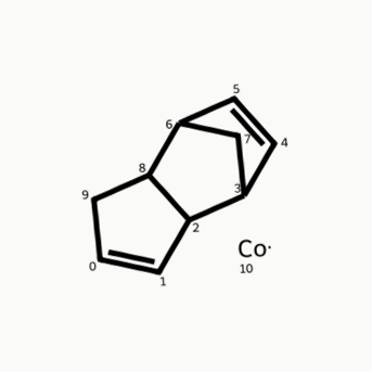 C1=CC2C3C=CC(C3)C2C1.[Co]